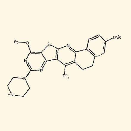 CCOc1nc(N2CCNCC2)nc2c1sc1nc3c(c(C(F)(F)F)c12)CCc1cc(OC)ccc1-3